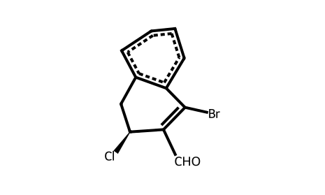 O=CC1=C(Br)c2ccccc2C[C@@H]1Cl